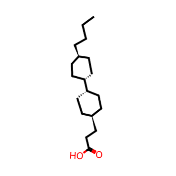 CCCC[C@H]1CC[C@H]([C@H]2CC[C@H](CCC(=O)O)CC2)CC1